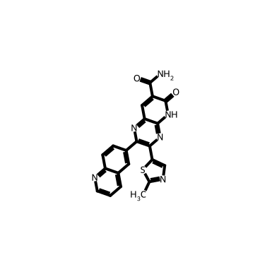 Cc1ncc(-c2nc3[nH]c(=O)c(C(N)=O)cc3nc2-c2ccc3ncccc3c2)s1